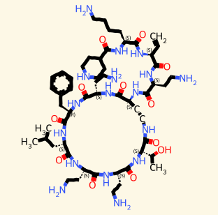 C=C[C@H](NC(=O)[C@H](CCCCN)NC(=O)C1CCNCC1)C(=O)N[C@@H](CCN)C(=O)N[C@H]1CCNC(=O)[C@H](C(C)O)NC(=O)[C@H](CCN)NC(=O)[C@H](CCN)NC(=O)[C@H](CC(C)C)NC(=O)[C@@H](Cc2ccccc2)NC(=O)[C@H](CCN)NC1=O